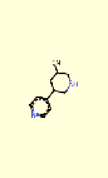 N#CC1CNCC(c2ccncc2)C1